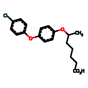 CC(CCCCC(=O)O)Oc1ccc(Oc2ccc(Cl)cc2)cc1